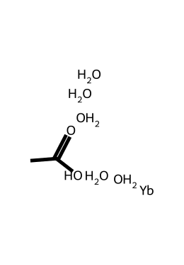 CC(=O)O.O.O.O.O.O.[Yb]